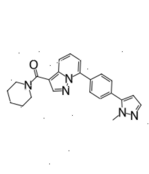 Cn1nccc1-c1ccc(-c2cccc3c(C(=O)N4CCCCC4)cnn23)cc1